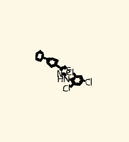 Clc1cc(Cl)c(Nc2nc(-c3ccc(-c4ccccc4)cc3)cs2)c(Cl)c1